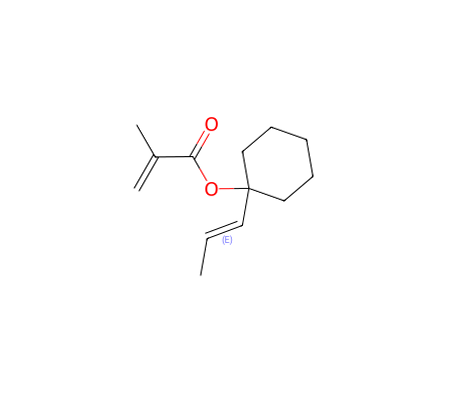 C=C(C)C(=O)OC1(/C=C/C)CCCCC1